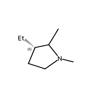 CC[C@H]1CCN(C)C1C